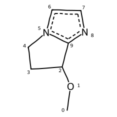 COC1CCn2ccnc21